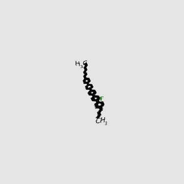 CCCCCCCC1CCC(C2CCC(c3ccc(-c4ccc(C5CCC(CCCCC)CC5)c(F)c4)cc3)CC2)CC1